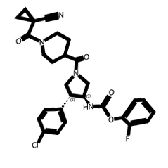 N#CC1(C(=O)N2CCC(C(=O)N3C[C@@H](NC(=O)Oc4ccccc4F)[C@H](c4ccc(Cl)cc4)C3)CC2)CC1